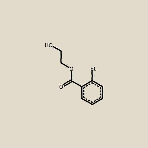 CCc1ccccc1C(=O)OCCO